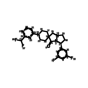 O=C1N2[C@H](c3cc(F)cc(F)c3)CCN2CC12CCN(c1ccnc(C(F)F)n1)CC2